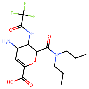 CCCN(CCC)C(=O)C1OC(C(=O)O)=CC(N)C1NC(=O)C(F)(F)F